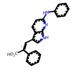 O=C(O)/C(=C/c1c[nH]c2nc(Nc3ccccc3)ccc12)c1ccccc1